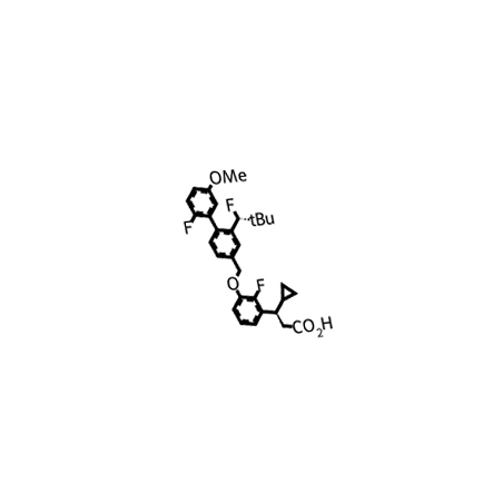 COc1ccc(F)c(-c2ccc(COc3cccc([C@H](CC(=O)O)C4CC4)c3F)cc2[C@H](F)C(C)(C)C)c1